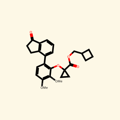 COc1ccc(-c2cccc3c2CCC3=O)c(OC2(C(=O)OCC3CCC3)CC2)c1OC